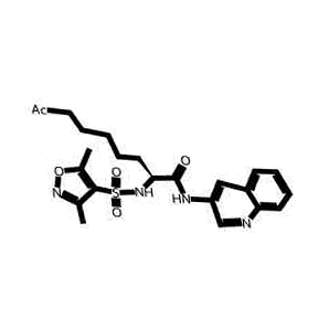 CC(=O)CCCCC[C@H](NS(=O)(=O)c1c(C)noc1C)C(=O)Nc1cnc2ccccc2c1